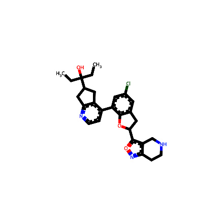 CCC(O)(CC)C1Cc2nccc(-c3cc(Cl)cc4c3OC(c3onc5c3CNCC5)C4)c2C1